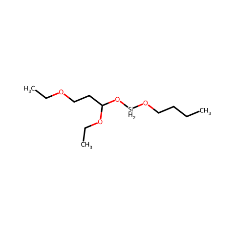 CCCCO[SiH2]OC(CCOCC)OCC